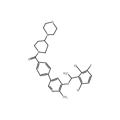 Cc1ncc(-c2ccc(C(=O)N3CCC(N4CCOCC4)CC3)cc2)cc1OC(C)c1c(Cl)ccc(F)c1Cl